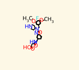 CCOc1cc(CN(c2nc3cc(CNC(=O)CC(=O)O)ccc3o2)C2CCNCC2)cc(OCC)c1F